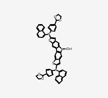 CCCCCCCCn1c2cc3cc(N(c4ccc(C5OCCO5)cc4)c4cccc5ccccc45)sc3cc2c2cc3sc(N(c4ccc(C5OCCO5)cc4)c4cccc5ccccc45)cc3cc21